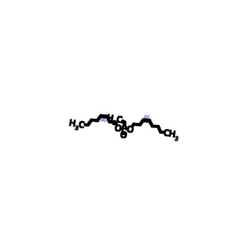 C=CP(=O)(OCC/C=C\CCCC)OCC/C=C\CCCC